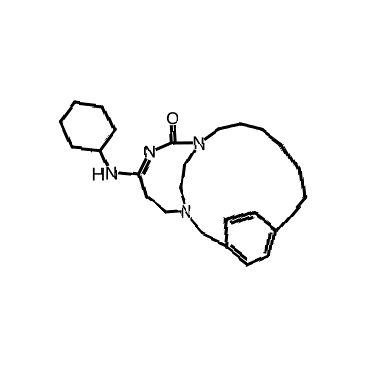 O=C1/N=C(/NC2CCCCC2)CCN2CCN1CCCCCCc1ccc(cc1)C2